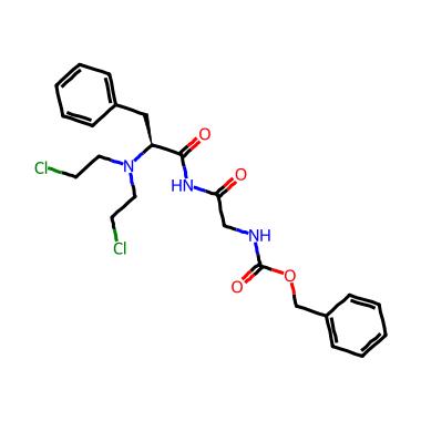 O=C(CNC(=O)OCc1ccccc1)NC(=O)[C@H](Cc1ccccc1)N(CCCl)CCCl